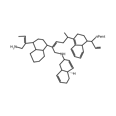 C=CC(CCCCC)C1CCC(C(C)C/C=C(\CNC2C=C[C@H]3CCC=CC3C2)C2CCC(/C(=C/C)CN)C3CCCCC23)=C2C=CC=CC21